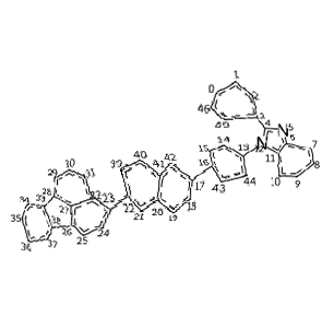 c1ccc(-c2nc3ccccc3n2-c2ccc(-c3ccc4cc(-c5ccc6c7c(cccc57)-c5ccccc5-6)ccc4c3)cc2)cc1